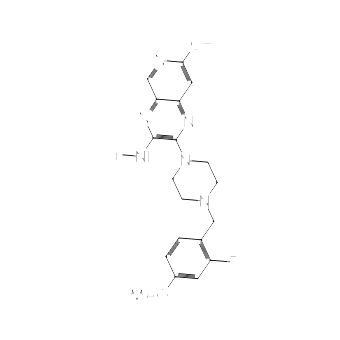 COc1ccc(CN2CCN(c3nc4cc(C)ncc4nc3NC(C)C)CC2)c(F)c1